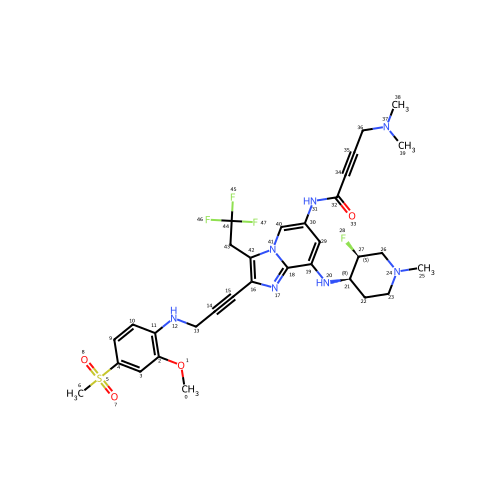 COc1cc(S(C)(=O)=O)ccc1NCC#Cc1nc2c(N[C@@H]3CCN(C)C[C@@H]3F)cc(NC(=O)C#CCN(C)C)cn2c1CC(F)(F)F